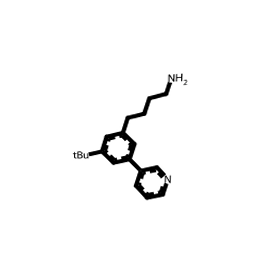 CC(C)(C)c1cc(CCCCN)cc(-c2cccnc2)c1